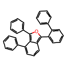 c1ccc(-c2ccccc2-c2oc(-c3ccccc3)c3c(-c4ccccc4)cccc23)cc1